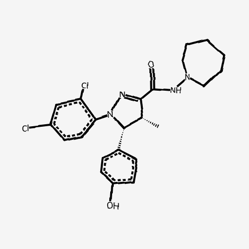 C[C@H]1C(C(=O)NN2CCCCCC2)=NN(c2ccc(Cl)cc2Cl)[C@H]1c1ccc(O)cc1